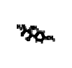 Cc1ccc(C(=O)N(N)C(N)=S)cc1